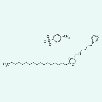 CCCCCCCCCCCCCCCCC[C@@H]1OC[C@@H](COCCCC[n+]2ccsc2)O1.Cc1ccc(S(=O)(=O)[O-])cc1